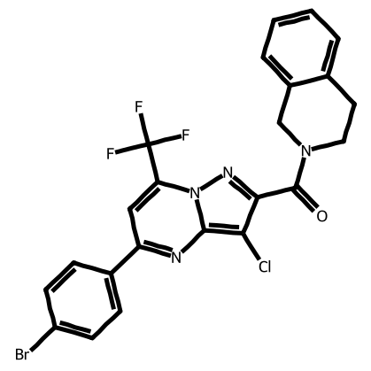 O=C(c1nn2c(C(F)(F)F)cc(-c3ccc(Br)cc3)nc2c1Cl)N1CCc2ccccc2C1